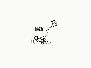 COc1cc(N)c(Cl)cc1C(=O)NCC1CCN(CCCCCNc2ncccn2)CC1.Cl.Cl